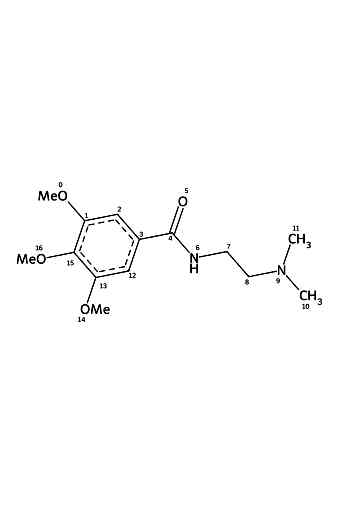 COc1cc(C(=O)NCCN(C)C)cc(OC)c1OC